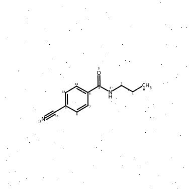 CCCNC(=O)c1ccc(C#N)cc1